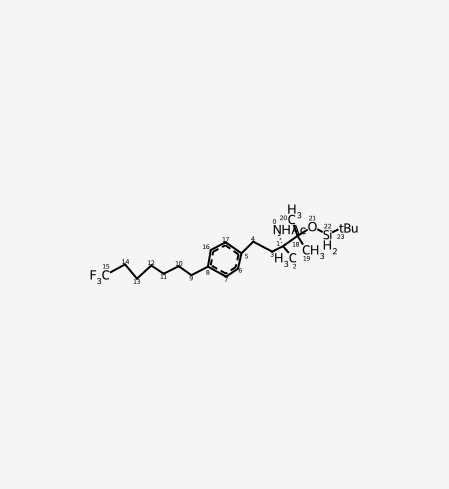 CC(=O)N[C@](C)(CCc1ccc(CCCCCCC(F)(F)F)cc1)C(C)(C)O[SiH2]C(C)(C)C